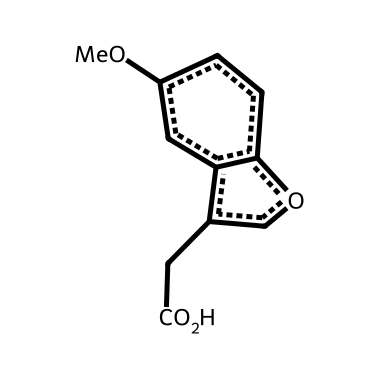 COc1ccc2occ(CC(=O)O)c2c1